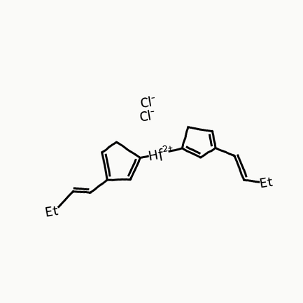 CC/C=C/C1=CC[C]([Hf+2][C]2=CC(/C=C/CC)=CC2)=C1.[Cl-].[Cl-]